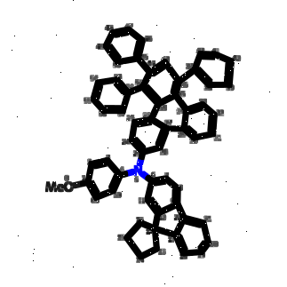 COc1ccc(N(c2ccc3c(c2)C2(CCCC2)c2ccccc2-3)c2ccc3c(c2)c2ccccc2c2c(-c4ccccc4)cc(-c4ccccc4)c(-c4ccccc4)c32)cc1